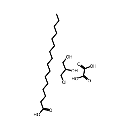 CCCCCCCCCCCCCCCC(=O)O.O=C(O)C(=O)O.OCC(O)CO